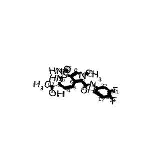 CC(O)[C@H]1C=Cc2c(cn(C)c2C(=O)Nc2ccc(F)c(F)c2)S(=N)(=O)N1